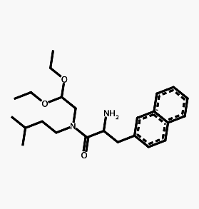 CCOC(CN(CCC(C)C)C(=O)C(N)Cc1ccc2ccccc2c1)OCC